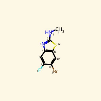 CNc1nc2cc(F)c(Br)cc2s1